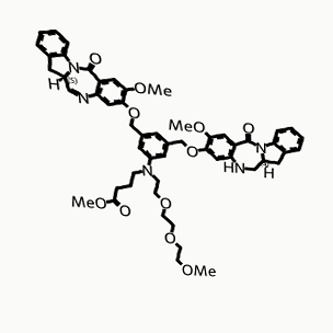 COCCOCCOCCN(CCCC(=O)OC)c1cc(COc2cc3c(cc2OC)C(=O)N2c4ccccc4C[C@H]2C=N3)cc(COc2cc3c(cc2OC)C(=O)N2c4ccccc4C[C@H]2CN3)c1